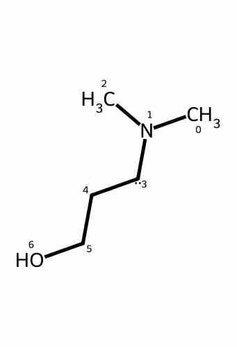 CN(C)[C]CCO